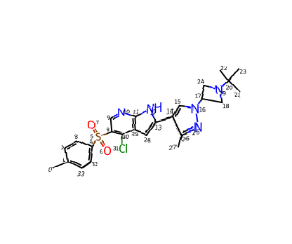 Cc1ccc(S(=O)(=O)c2cnc3[nH]c(-c4cn(C5CN(C(C)(C)C)C5)nc4C)cc3c2Cl)cc1